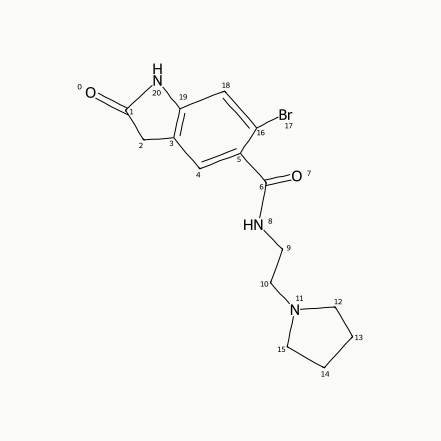 O=C1Cc2cc(C(=O)NCCN3CCCC3)c(Br)cc2N1